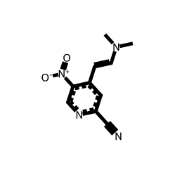 CN(C)/C=C/c1cc(C#N)ncc1[N+](=O)[O-]